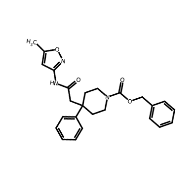 Cc1cc(NC(=O)CC2(c3ccccc3)CCN(C(=O)OCc3ccccc3)CC2)no1